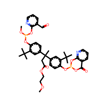 COCCOC(=O)CC(C)(c1ccc(OP(OC)Oc2ncccc2C=O)c(C(C)(C)C)c1)c1ccc(OP2OC(=O)c3cccnc3O2)c(C(C)(C)C)c1